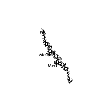 C=CC(=O)OCCCCOc1ccc(C(=O)Oc2ccc(OC(=O)C3CCC(C(=O)Oc4ccc(OC(=O)c5ccc(OCCCCOC(=O)C=C)cc5)cc4C(=O)OC)CC3)c(C(=O)OC)c2)cc1